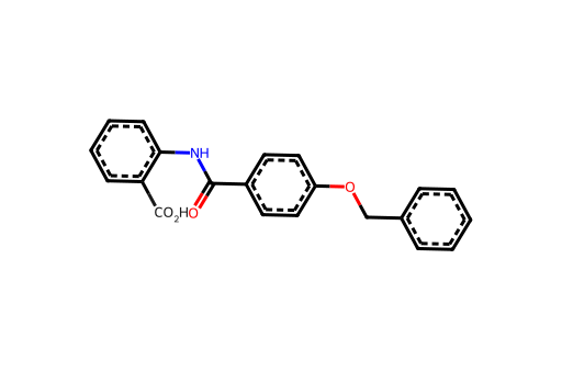 O=C(Nc1ccccc1C(=O)O)c1ccc(OCc2ccccc2)cc1